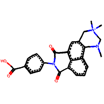 CN1C[N+](C)(C)Cc2cc3c4c(cccc4c21)C(=O)N(c1ccc(C(=O)O)cc1)C3=O